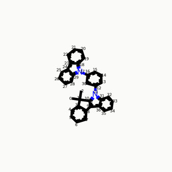 CC1(C)c2ccccc2-c2c1n(-c1cccc(-n3c4ccccc4c4ccccc43)c1)c1ccccc21